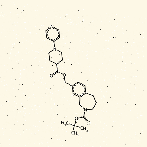 CC(C)(C)OC(=O)N1CCCc2ccc(COC(=O)C3CCN(c4ccncc4)CC3)cc2C1